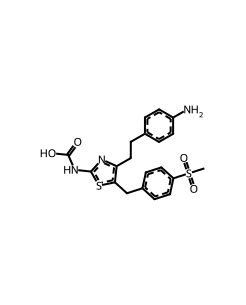 CS(=O)(=O)c1ccc(Cc2sc(NC(=O)O)nc2CCc2ccc(N)cc2)cc1